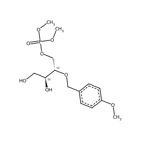 COc1ccc(CO[C@@H](COP(=O)(OC)OC)[C@@H](O)CO)cc1